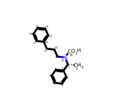 C[C@H](c1ccccc1)N(CCCc1ccccc1)C(=O)O